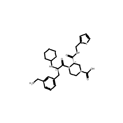 NCc1cccc(C[C@@H](NC2CCCCC2)C(=O)N2CCN(C(=O)O)C[C@H]2C(=O)NCc2cccs2)c1